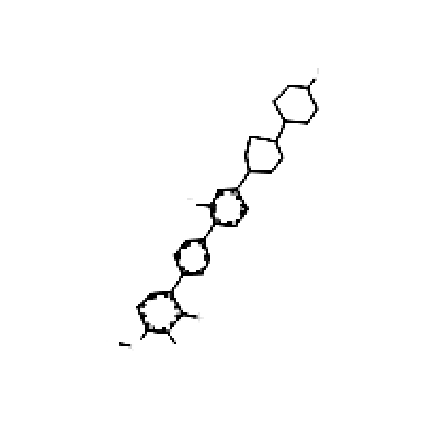 CCCCCCCCOc1ccc(-c2ccc(-c3ccc(C4CCC(C5CCC(CCC)CC5)CC4)cc3F)cc2)c(F)c1F